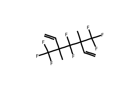 C=CC(C)(C(F)(F)F)C(F)(F)C(C)(C=C)C(F)(F)F